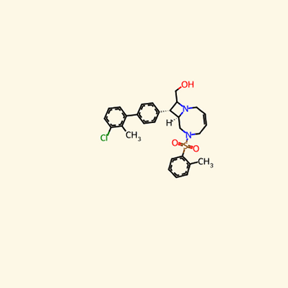 Cc1ccccc1S(=O)(=O)N1C/C=C\CN2C(CO)[C@@H](c3ccc(-c4cccc(Cl)c4C)cc3)[C@@H]2C1